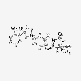 COC1(c2ccccc2)CCN(c2cccc(CN3C(=N)N[C@](C)(C(C)C)CC3=O)c2)C1